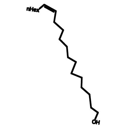 CCCCCC/C=C\CCCCCCCCCCCCO